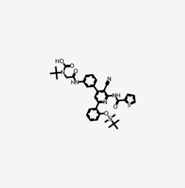 CC(C)(C)N(CC(=O)Nc1cccc(-c2cc(-c3ccccc3O[Si](C)(C)C(C)(C)C)nc(NC(=O)c3cccs3)c2C#N)c1)C(=O)O